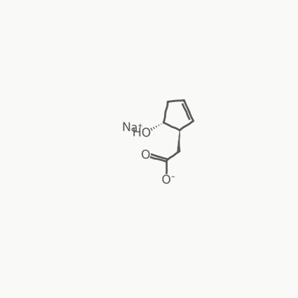 O=C([O-])C[C@@H]1C=CC[C@H]1O.[Na+]